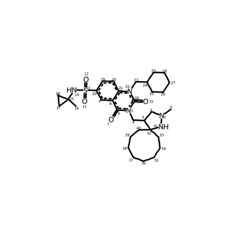 CN1CC(Cn2c(=O)c3cc(S(=O)(=O)NC4(C)CC4)ccc3n(CC3CCCCC3)c2=O)C2(CCCCCCCC2)N1